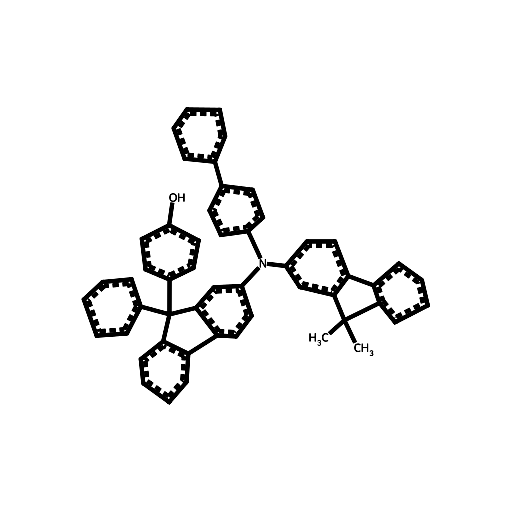 CC1(C)c2ccccc2-c2ccc(N(c3ccc(-c4ccccc4)cc3)c3ccc4c(c3)C(c3ccccc3)(c3ccc(O)cc3)c3ccccc3-4)cc21